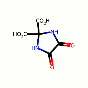 O=C1NC(C(=O)O)(C(=O)O)NC1=O